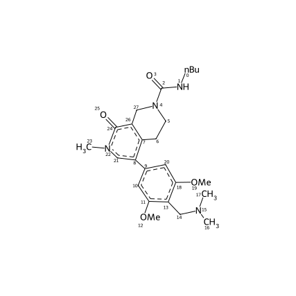 CCCCNC(=O)N1CCc2c(-c3cc(OC)c(CN(C)C)c(OC)c3)cn(C)c(=O)c2C1